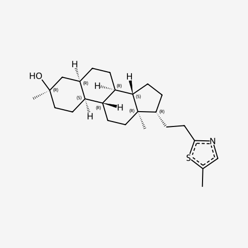 Cc1cnc(CC[C@H]2CC[C@H]3[C@@H]4CC[C@@H]5C[C@](C)(O)CC[C@@H]5[C@H]4CC[C@]23C)s1